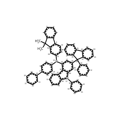 CC1(C)c2ccccc2-c2ccc(N(c3ccc(-c4ccccc4)cc3)c3cc(C4(c5ccccc5)c5ccccc5-c5ccccc54)cc4c3c3ccccc3n4-c3ccccc3)cc21